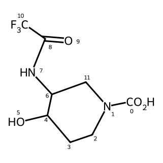 O=C(O)N1CCC(O)C(NC(=O)C(F)(F)F)C1